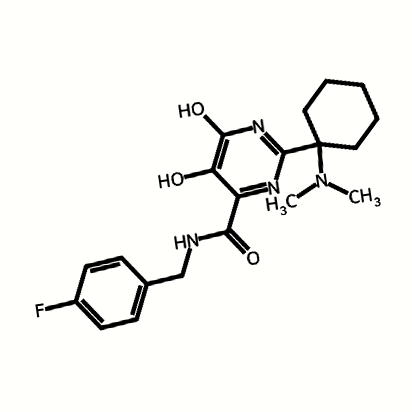 CN(C)C1(c2nc(O)c(O)c(C(=O)NCc3ccc(F)cc3)n2)CCCCC1